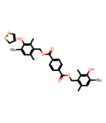 C1=CSSC1.Cc1cc(C(C)(C)C)c(O)c(C)c1COC(=O)c1ccc(C(=O)OCc2c(C)cc(C(C)(C)C)c(O)c2C)cc1